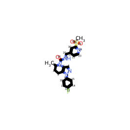 CC1CCc2c(cnn2-c2ccc(F)cc2)N1C(=O)NCc1ccnc(S(C)(=O)=O)c1